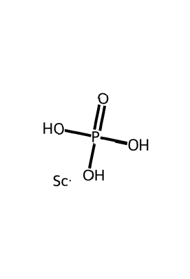 O=P(O)(O)O.[Sc]